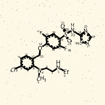 CCNCCN(C)c1cc(Cl)ccc1COc1cc(F)c(S(=O)(=O)Nc2ncns2)cc1F